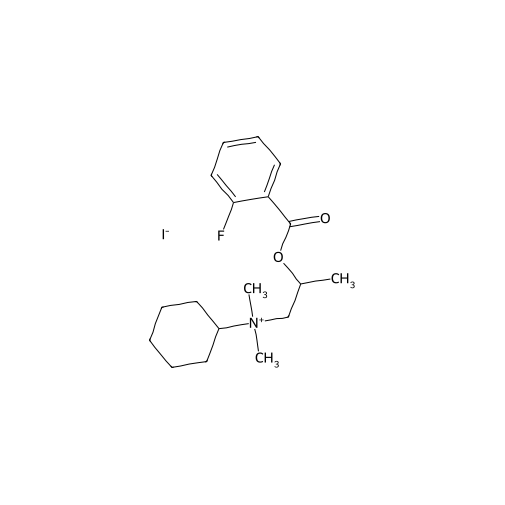 CC(C[N+](C)(C)C1CCCCC1)OC(=O)c1ccccc1F.[I-]